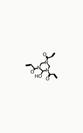 C=CC(=O)N1CN(C(=O)C=C)C(O)N(C(=O)C=C)C1